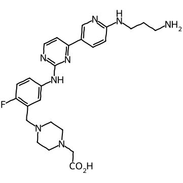 NCCCNc1ccc(-c2ccnc(Nc3ccc(F)c(CN4CCN(CC(=O)O)CC4)c3)n2)cn1